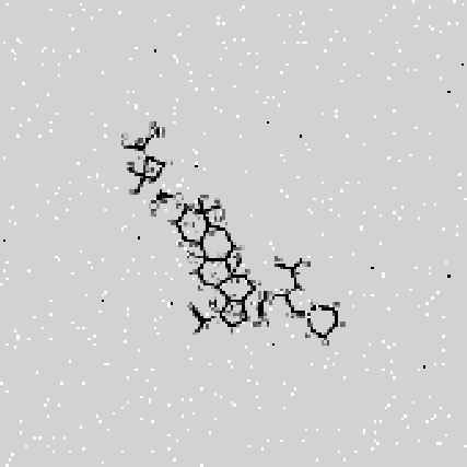 C=C(C)[C@@H]1CC[C@]2(C(=O)N[C@@H](CC(C)C)CN3CCCCC3)CC[C@]3(C)[C@H](CC[C@@H]4[C@@]5(C)CC[C@H](OC(=O)[C@H]6C[C@@H](C(=O)O)C6(C)C)C(C)(C)[C@@H]5CC[C@]43C)[C@@H]12